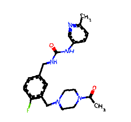 CC(=O)N1CCN(Cc2cc(CNC(=O)Nc3ccc(C)nc3)ccc2F)CC1